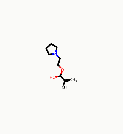 C=C(C)C(O)OCCN1CCCC1